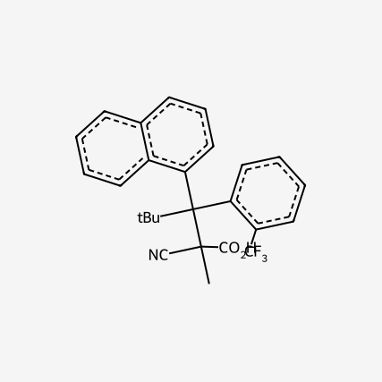 CC(C)(C)C(c1ccccc1C(F)(F)F)(c1cccc2ccccc12)C(C)(C#N)C(=O)O